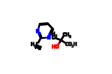 CC(C)(O)C(=O)O.Cc1ncccn1.[Ag]